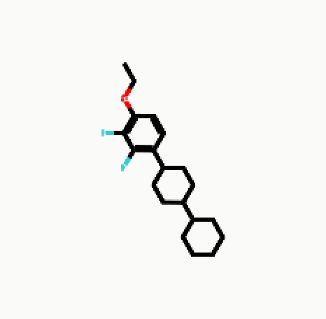 CCOc1ccc(C2CCC(C3CCCCC3)CC2)c(F)c1F